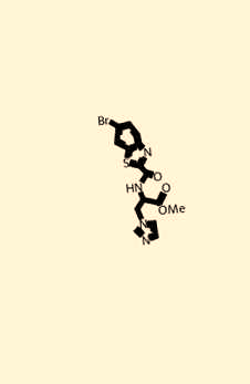 COC(=O)C(Cn1ccnc1)NC(=O)c1nc2ccc(Br)cc2s1